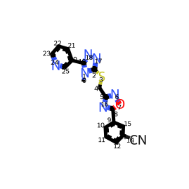 Cn1c(SCc2noc(-c3cccc(C#N)c3)n2)nnc1-c1cccnc1